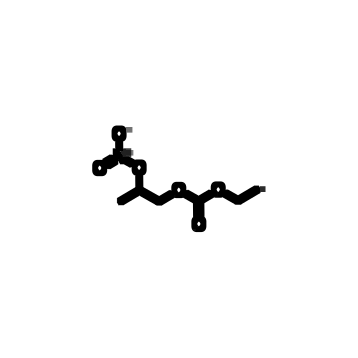 [CH2]COC(=O)OCC(C)O[N+](=O)[O-]